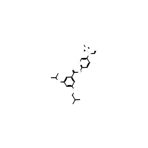 CC(C)COc1cc(OC(C)C)cc(C(=O)Nc2ccc(N(C=O)S(C)(=O)=O)cn2)c1